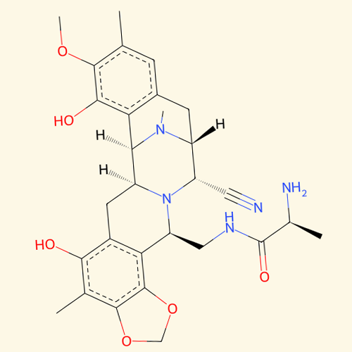 COc1c(C)cc2c(c1O)[C@@H]1[C@@H]3Cc4c(O)c(C)c5c(c4[C@H](CNC(=O)[C@H](C)N)N3[C@@H](C#N)[C@@H](C2)N1C)OCO5